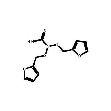 NC(=S)N(SCc1ccco1)SCc1ccco1